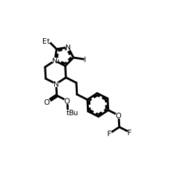 CCc1nc(I)c2n1CCN(C(=O)OC(C)(C)C)C2CCc1ccc(OC(F)F)cc1